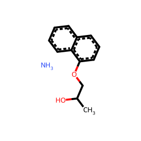 CC(O)COc1cccc2ccccc12.N